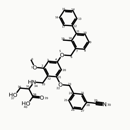 COc1cc(OCc2cccc(-c3ccccc3)c2C)cc(OCc2cccc(C#N)c2)c1CNC(CO)C(=O)O